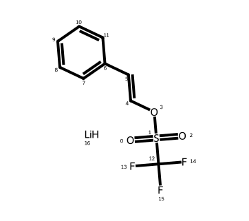 O=S(=O)(OC=Cc1ccccc1)C(F)(F)F.[LiH]